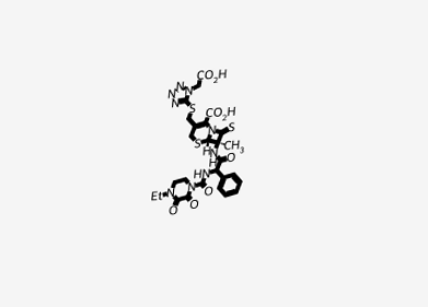 CCN1CCN(C(=O)NC(C(=O)N[C@]2(C)C(=S)N3C(C(=O)O)=C(CSc4nnnn4CC(=O)O)CS[C@H]32)c2ccccc2)C(=O)C1=O